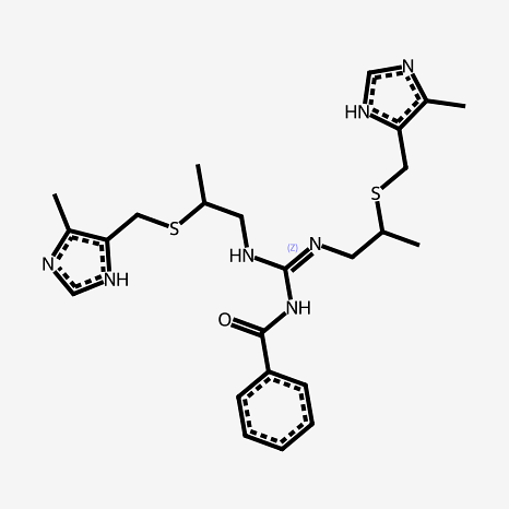 Cc1nc[nH]c1CSC(C)C/N=C(/NCC(C)SCc1[nH]cnc1C)NC(=O)c1ccccc1